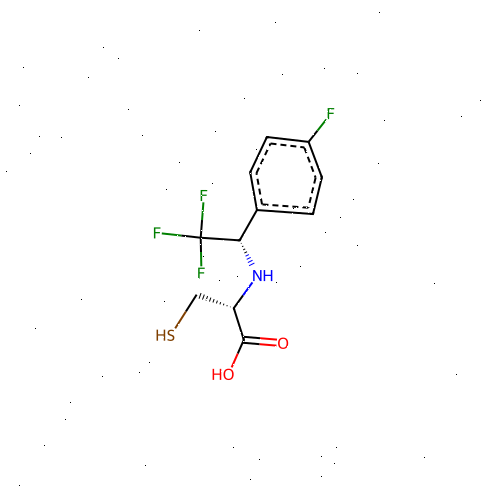 O=C(O)[C@H](CS)N[C@@H](c1ccc(F)cc1)C(F)(F)F